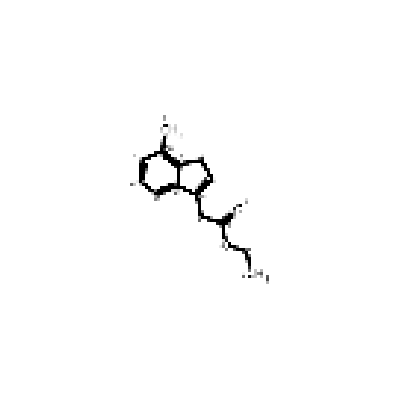 CCOC(=O)CC1=CCc2c(C)cccc21